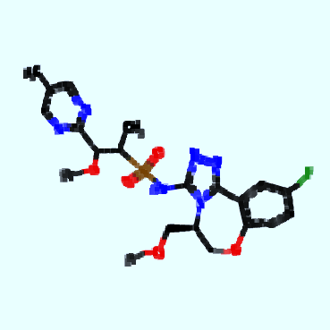 Cc1cnc(C(OC(C)C)C(C)S(=O)(=O)Nc2nnc3n2[C@H](COC(C)C)COc2ccc(F)cc2-3)nc1